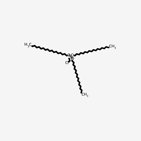 CCCCCCCCCCCCCCCCCCO[Si](CCCl)(OCCCCCCCCCCCCCCCCCC)OCCCCCCCCCCCCCCCCCC